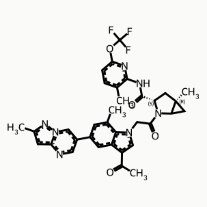 CC(=O)c1cn(CC(=O)N2C3C[C@]3(C)C[C@H]2C(=O)Nc2nc(OC(F)(F)F)ccc2C)c2c(C)cc(-c3cnc4cc(C)nn4c3)cc12